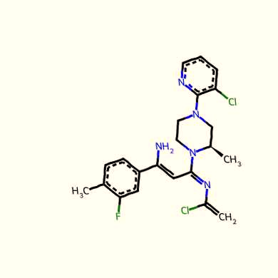 C=C(Cl)/N=C(\C=C(/N)c1ccc(C)c(F)c1)N1CCN(c2ncccc2Cl)C[C@H]1C